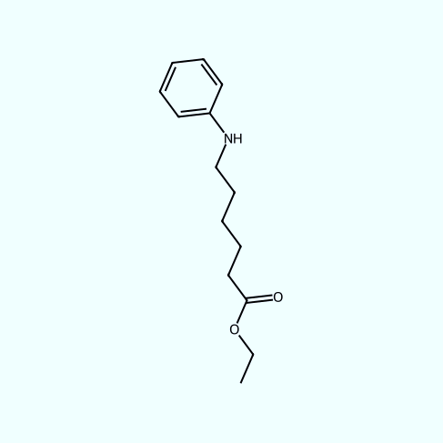 CCOC(=O)CCCCCNc1ccccc1